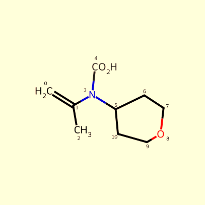 C=C(C)N(C(=O)O)C1CCOCC1